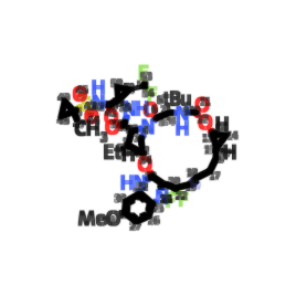 CC[C@@H]1[C@@H]2CN(C(=O)[C@H](C(C)(C)C)NC(=O)O[C@@H]3C[C@H]3CC/C=C/C(F)(F)C3=Nc4ccc(OC)cc4NC3O2)[C@@H]1C(=O)N[C@]1(C(=O)NS(=O)(=O)C2(C)CC2)C[C@H]1C(F)F